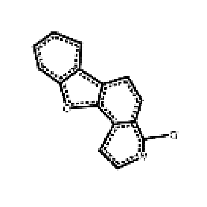 Clc1nccc2c1ccc1c3ccccc3oc21